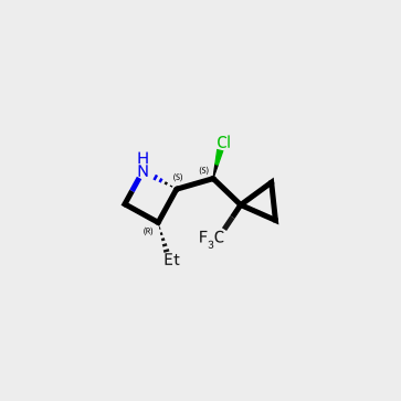 CC[C@@H]1CN[C@@H]1[C@@H](Cl)C1(C(F)(F)F)CC1